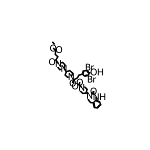 CCOC(=O)CCC(=O)N1CCN(C2CCN(C(=O)C(Cc3cc(Br)c(O)c(Br)c3)OC(=O)N3CCC(N4CCc5ccccc5NC4=O)CC3)CC2)CC1